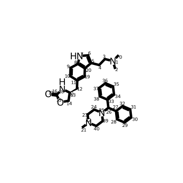 CN(C)CCc1c[nH]c2ccc(C[C@H]3COC(=O)N3)cc12.CN1CCN(C(c2ccccc2)c2ccccc2)CC1